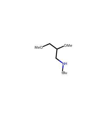 COCC(CNC(C)(C)C)OC